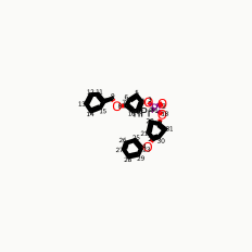 CCCP(=O)(Oc1ccc(OCc2ccccc2)cc1)Oc1ccc(Oc2ccccc2)cc1